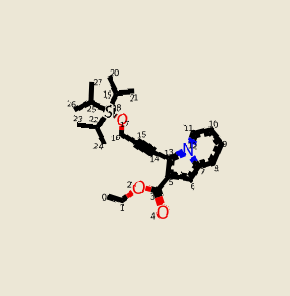 CCOC(=O)c1cc2ccccn2c1C#CCO[Si](C(C)C)(C(C)C)C(C)C